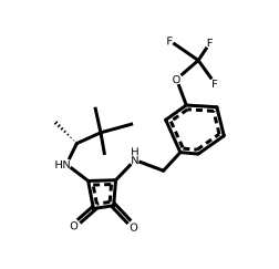 C[C@@H](Nc1c(NCc2cccc(OC(F)(F)F)c2)c(=O)c1=O)C(C)(C)C